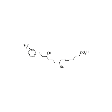 CC(=O)C(CC#CCCCC(=O)O)CCCC(O)COc1cccc(C(F)(F)F)c1